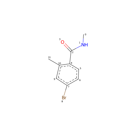 CNC(=O)c1ccc(Br)cc1C